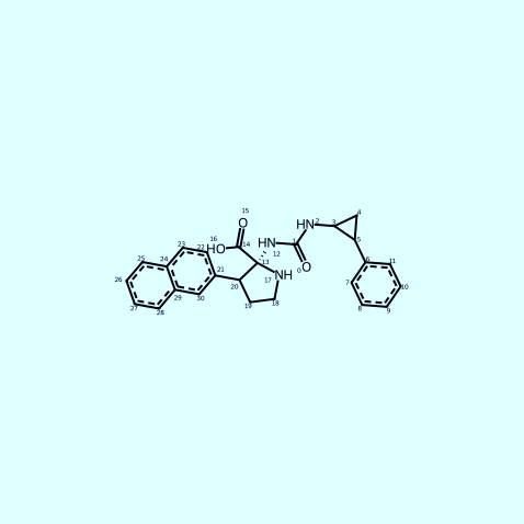 O=C(NC1CC1c1ccccc1)N[C@]1(C(=O)O)NCCC1c1ccc2ccccc2c1